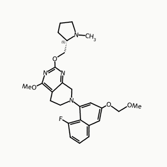 COCOc1cc(N2CCc3c(nc(OC[C@@H]4CCCN4C)nc3OC)C2)c2c(F)cccc2c1